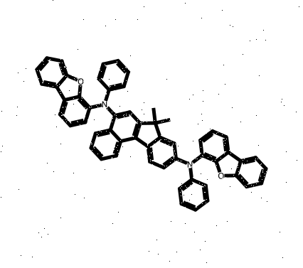 CC1(C)c2cc(N(c3ccccc3)c3cccc4c3oc3ccccc34)ccc2-c2c1cc(N(c1ccccc1)c1cccc3c1oc1ccccc13)c1ccccc21